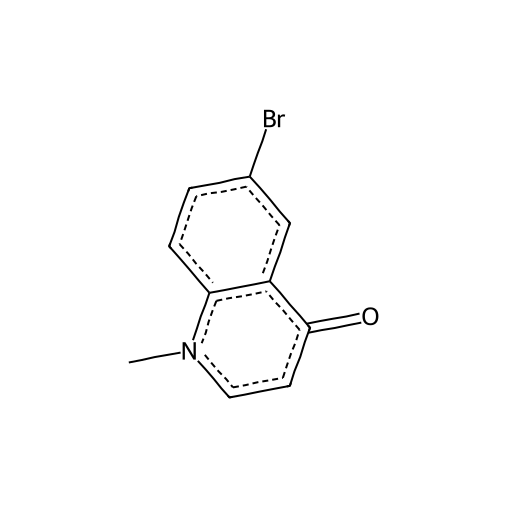 Cn1ccc(=O)c2cc(Br)ccc21